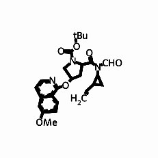 C=CC1CC1N(C=O)C(=O)C1CC(Oc2nccc3cc(OC)ccc23)CN1C(=O)OC(C)(C)C